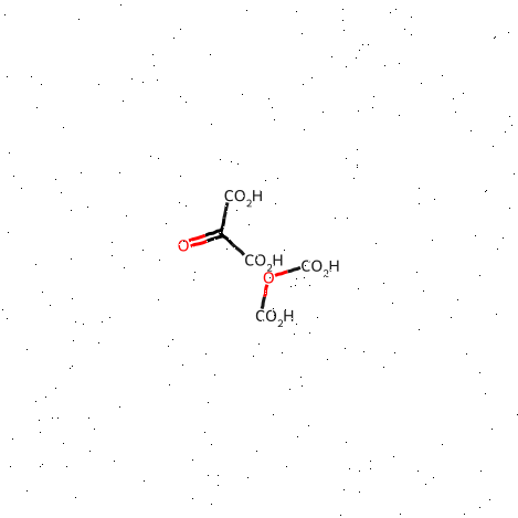 O=C(O)C(=O)C(=O)O.O=C(O)OC(=O)O